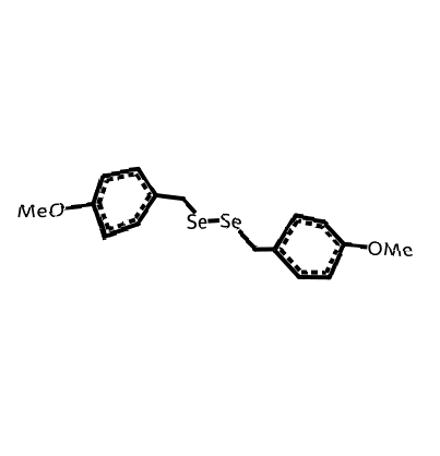 COc1ccc(C[Se][Se]Cc2ccc(OC)cc2)cc1